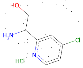 Cl.NC(CO)c1cc(Cl)ccn1